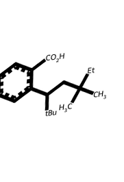 CCC(C)(C)CC(c1ccccc1C(=O)O)C(C)(C)C